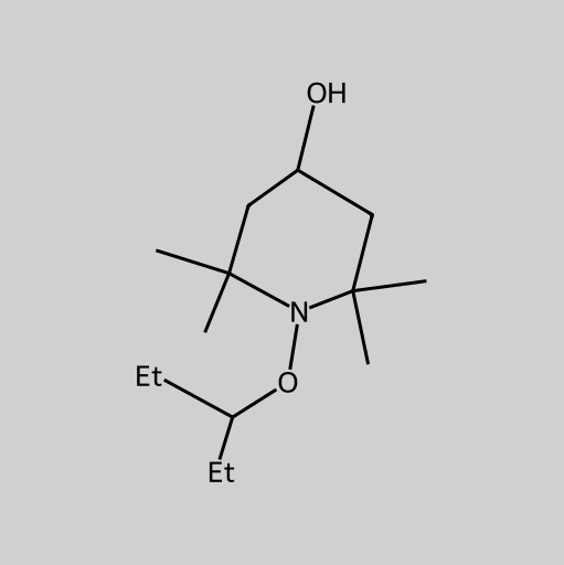 CCC(CC)ON1C(C)(C)CC(O)CC1(C)C